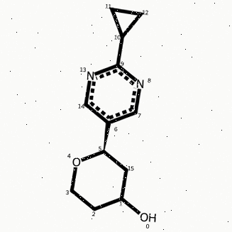 OC1CCO[C@@H](c2cnc(C3CC3)nc2)C1